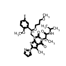 COCCCO[C@@H](Cn1c(=O)n([C@H](C)C(=O)NC(C)C)c(=O)c2c(C)c(-n3cccn3)sc21)c1cc(F)ccc1OC